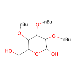 CCCCOC1C(O)OC(CO)C(OCCCC)C1OCCCC